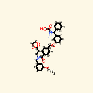 COc1cccc(CN(CCC2OCCO2)C(=O)c2ccc(COc3cccc(C(NC(=O)O)c4ccccc4)c3)cc2)c1